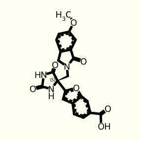 COc1ccc2c(c1)C(=O)N(C[C@@]1(c3cc4ccc(C(=O)O)cc4o3)NC(=O)NC1=O)C2